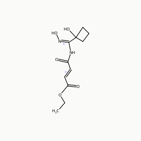 CCOC(=O)/C=C/C(=O)N/C(=N/O)C1(O)CCC1